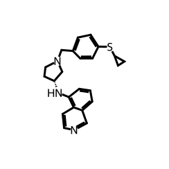 c1cc(N[C@@H]2CCN(Cc3ccc(SC4CC4)cc3)C2)c2ccncc2c1